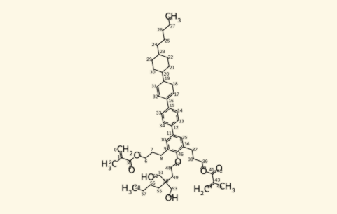 C=C(C)C(=O)OCCCc1cc(-c2ccc(C3=CCC(C4CCC(CCCCC)CC4)C=C3)cc2)cc(CCCOC(=O)C(=C)C)c1OCCC(CO)(CO)CCCC